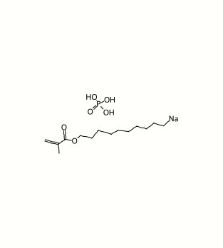 C=C(C)C(=O)OCCCCCCCCC[CH2][Na].O=P(O)(O)O